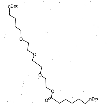 CCCCCCCCCCCCCCCC(=O)OCCOCCOCCOCCCCCCCCCCCCCC